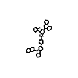 c1ccc2cc(-n3c4ccccc4c4ccc(-c5ccc(-c6nc7cc(-c8cc9ccccc9c9ccccc89)c8sc9ccccc9c8c7s6)cc5)cc43)ccc2c1